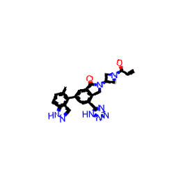 C=CC(=O)N1CC(N2Cc3c(cc(-c4c(C)ccc5[nH]ncc45)cc3-c3nnn[nH]3)C2=O)C1